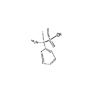 CC(N)(c1ccccc1)S(=O)(=O)O